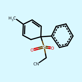 [C-]#[N+]CS(=O)(=O)C1(c2ccccc2)C=CC(C)=CC1